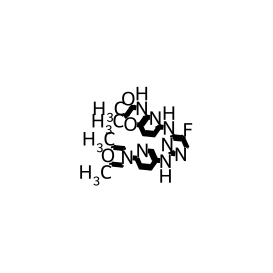 CC1CN(c2ccc(Nc3ncc(F)c(Nc4ccc5c(n4)NC(=O)C(C)(C)O5)n3)cn2)CC(C)O1